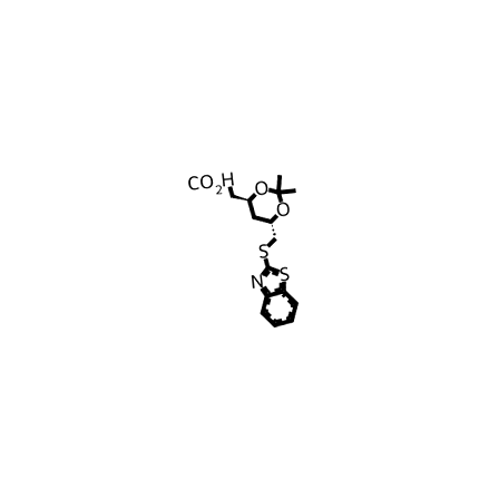 CC1(C)O[C@H](CSc2nc3ccccc3s2)C[C@@H](CC(=O)O)O1